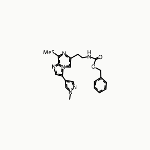 CSc1nc(CCNC(=O)OCc2ccccc2)cn2c(-c3cnn(C)c3)cnc12